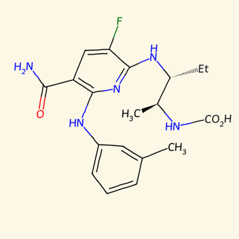 CC[C@@H](Nc1nc(Nc2cccc(C)c2)c(C(N)=O)cc1F)[C@H](C)NC(=O)O